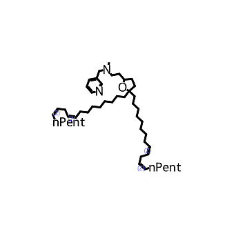 CCCCC/C=C\C/C=C\CCCCCCCCC1(CCCCCCCC/C=C\C/C=C\CCCCC)CCC(CCN(C)Cc2cccnc2)O1